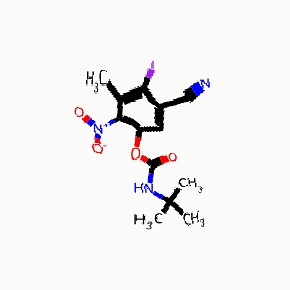 Cc1c(I)c(C#N)cc(OC(=O)NC(C)(C)C)c1[N+](=O)[O-]